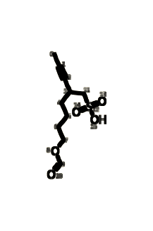 CC#CC(CCCCOC=O)CS(=O)(=O)O